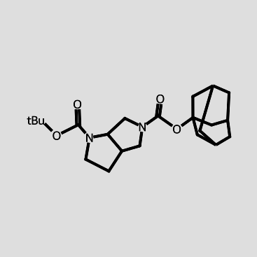 CC(C)(C)OC(=O)N1CCC2CN(C(=O)OC34CC5CC(CC(C5)C3)C4)CC21